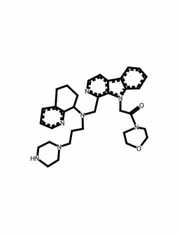 O=C(Cn1c2ccccc2c2ccnc(CN(CCCN3CCNCC3)C3CCCc4cccnc43)c21)N1CCOCC1